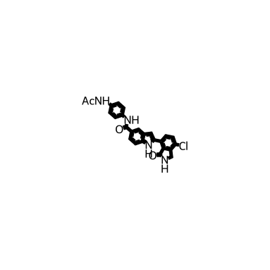 CC(=O)Nc1ccc(NC(=O)c2ccc3[nH]c(-c4ccc(Cl)c5c4C(=O)NC5)cc3c2)cc1